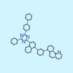 c1ccc(-c2ccc(-c3nc(-c4ccccc4)nc(-c4ccc(-c5cccc(-c6cccc7c6ccc6cccnc67)c5)c5ccccc45)n3)cc2)cc1